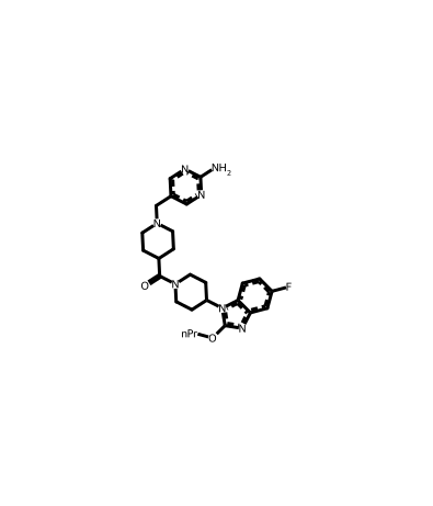 CCCOc1nc2cc(F)ccc2n1C1CCN(C(=O)C2CCN(Cc3cnc(N)nc3)CC2)CC1